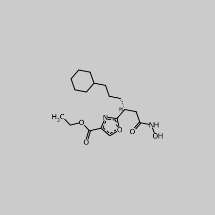 CCOC(=O)c1coc([C@H](CCCC2CCCCC2)CC(=O)NO)n1